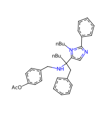 CCCCn1c(C(CCCC)(Cc2ccccc2)NCc2ccc(OC(C)=O)cc2)cnc1-c1ccccc1